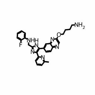 Cc1cccc(-c2nc(CNc3ccccc3F)[nH]c2-c2ccc3ncc(OCCCCN)nc3c2)n1